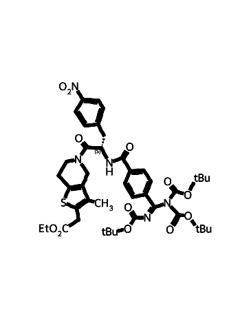 CCOC(=O)Cc1sc2c(c1C)CN(C(=O)[C@H](Cc1ccc([N+](=O)[O-])cc1)NC(=O)c1ccc(C(=NC(=O)OC(C)(C)C)N(C(=O)OC(C)(C)C)C(=O)OC(C)(C)C)cc1)CC2